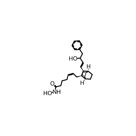 O=C(CCC/C=C\C[C@H]1[C@@H](/C=C/C(O)Cc2ccccc2)[C@H]2CC[C@@H]1O2)NO